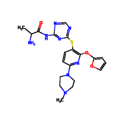 CC(N)C(=O)Nc1ncnc(Sc2ccc(N3CCN(C)CC3)nc2Oc2ccco2)n1